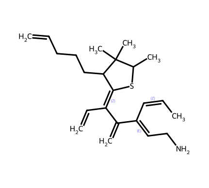 C=CCCCC1/C(=C(\C=C)C(=C)C(/C=C\C)=C/CN)SC(C)C1(C)C